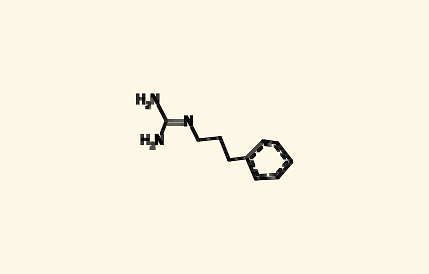 NC(N)=NCCCc1ccccc1